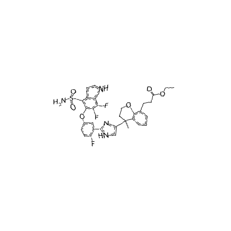 CCOC(=O)CCc1cccc2c1OCCC2(C)c1c[nH]c(-c2cc(Oc3c(F)c(F)c4[nH]ccc4c3S(N)(=O)=O)ccc2F)n1